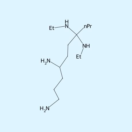 CCCC(CCC(N)CCCN)(NCC)NCC